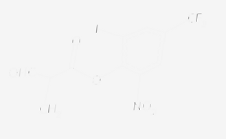 CC(C=O)C(=O)Oc1c(I)cc(C(F)(F)F)cc1[N+](=O)[O-]